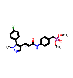 COP(=O)(Cc1ccc(NC(=O)/C=C/c2cnn(C)c2-c2ccc(Br)cc2)cc1)OC